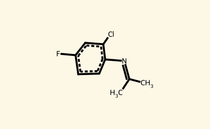 CC(C)=Nc1ccc(F)cc1Cl